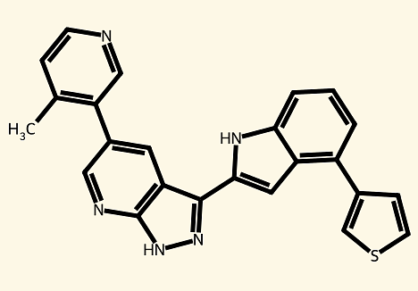 Cc1ccncc1-c1cnc2[nH]nc(-c3cc4c(-c5ccsc5)cccc4[nH]3)c2c1